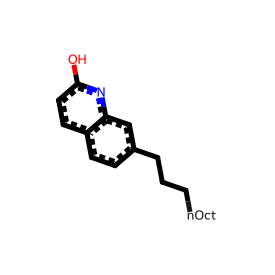 CCCCCCCCCCCc1ccc2ccc(O)nc2c1